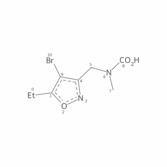 CCc1onc(CN(C)C(=O)O)c1Br